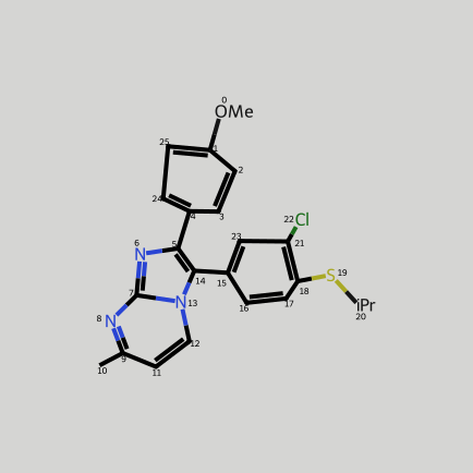 COc1ccc(-c2nc3nc(C)ccn3c2-c2ccc(SC(C)C)c(Cl)c2)cc1